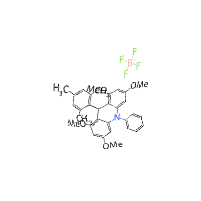 COc1cc(OC)c2c(c1)N(c1ccccc1)c1cc(OC)cc(OC)c1C2c1c(C)cc(C)cc1C.F[B-](F)(F)F